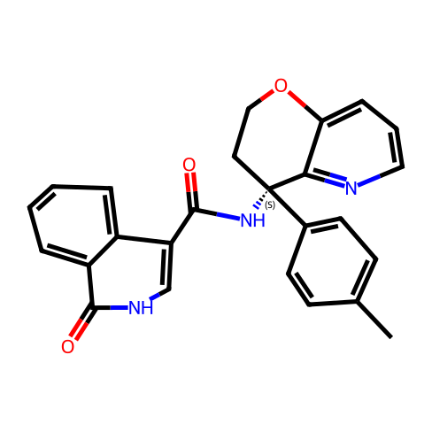 Cc1ccc([C@@]2(NC(=O)c3c[nH]c(=O)c4ccccc34)CCOc3cccnc32)cc1